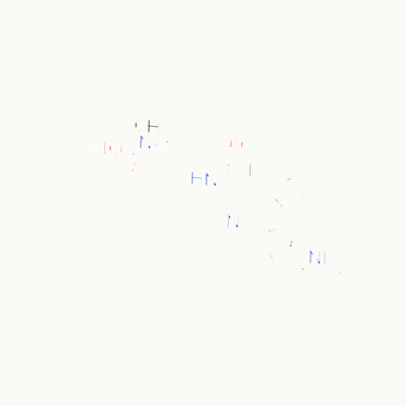 CN(C(=O)O)[C@H]1CC[C@H](C(C)(C=O)Nc2cnc(-c3ccc(C4(N)CCC4)cc3)c(-c3ccccc3)c2)CC1